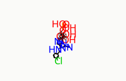 N#Cc1nc(NCc2cccc(Cl)c2)c2cnn([C@@H]3O[C@H](COCP(=O)(O)O)[C@@H](O)[C@H]3O)c2n1